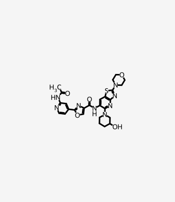 CC(=O)Nc1cc(-c2nc(C(=O)Nc3cc4sc(N5CCOCC5)nc4nc3N3CCCC(O)C3)co2)ccn1